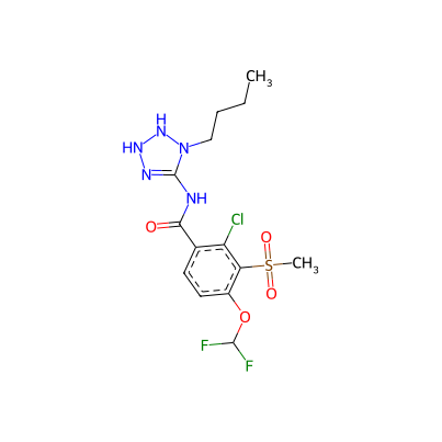 CCCCN1NNN=C1NC(=O)c1ccc(OC(F)F)c(S(C)(=O)=O)c1Cl